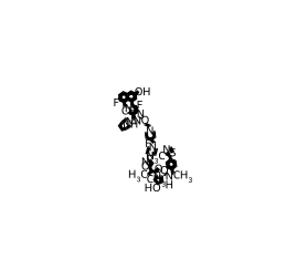 C#Cc1c(F)ccc2cc(O)cc(-c3ncc4c(N5CC6CCC(C5)N6)nc(OCCN5CCC(F)(CN6CCN(c7cc(C(C(=O)N8C[C@H](O)C[C@H]8C(=O)NC(C)c8ccc(-c9scnc9C)cc8)C(C)C)on7)CC6)CC5)nc4c3F)c12